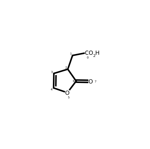 O=C(O)CC1C=COC1=O